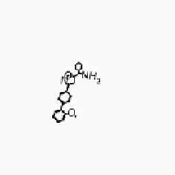 COc1ccccc1-c1ccc(C2=NOC(C(N)=O)C2)cc1